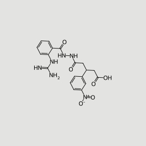 N=C(N)Nc1ccccc1C(=O)NNC(=O)CC(CC(=O)O)c1cccc([N+](=O)[O-])c1